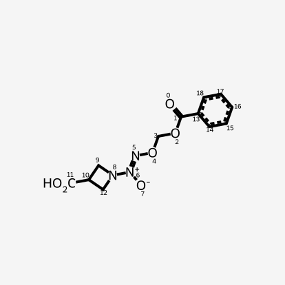 O=C(OCON=[N+]([O-])N1CC(C(=O)O)C1)c1ccccc1